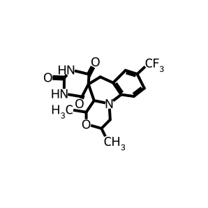 CC1CN2c3ccc(C(F)(F)F)cc3CC3(C(=O)NC(=O)NC3=O)C2C(C)O1